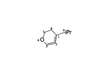 CC(C)C1=C=COCC1